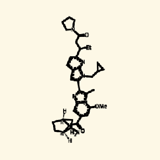 CCC(CC(=O)N1CCCC1)c1ccc2cc(-c3nc4cc(C(=O)N5[C@H]6CC[C@@H]5[C@H](N)C6)cc(OC)n4c3C)n(CC3CC3)c2n1